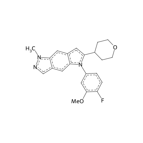 COc1cc(-n2c(C3CCOCC3)cc3cc4c(cnn4C)cc32)ccc1F